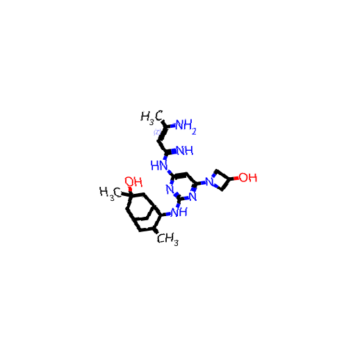 C/C(N)=C/C(=N)Nc1cc(N2CC(O)C2)nc(NC2C(C)CC3CC2CC(C)(O)C3)n1